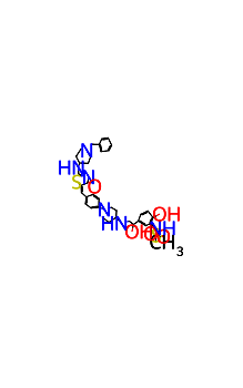 CS(=O)(=O)Nc1cc(C(O)CNC2CCN(c3ccc(C=C4SC(NC5CCN(Cc6ccccc6)CC5)=NC4=O)cc3)CC2)ccc1O